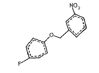 O=[N+]([O-])c1cccc(COc2ccc(F)cc2)c1